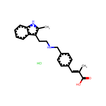 C/C(=C\c1ccc(CNCCc2c(C)[nH]c3ccccc23)cc1)C(=O)O.Cl